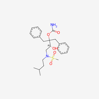 CC(C)CCN(C[C@@H](O)C(Cc1ccccc1)(Cc1ccccc1)OC(N)=O)S(C)(=O)=O